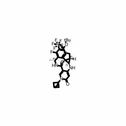 C[C@@H](NC(=O)c1cn(C23CC(C2)C3)c(=O)cc1N[C@H]1[C@@H]2CN(C(=O)OC(C)(C)C)C[C@@H]21)c1cccc(S(F)(F)(F)(F)F)c1F